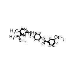 Cc1cnc(NC[C@H]2CC[C@@H](NC(=O)c3cccc(OC(F)(F)F)c3)CC2)nc1N(C)C